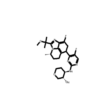 COC(C)(C)c1nc2c3n1[C@@H](C)CCC=3C(c1nc(N[C@@H]3CCOC[C@H]3O)ncc1F)CC=2F